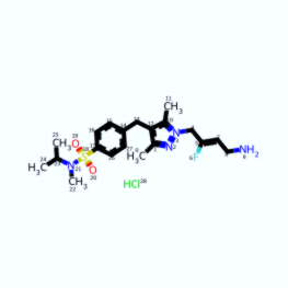 Cc1nn(CC(F)=CCN)c(C)c1Cc1ccc(S(=O)(=O)N(C)C(C)C)cc1.Cl